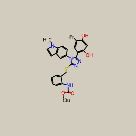 CC(C)c1cc(-c2nnc(SCc3ccccc3NC(=O)OC(C)(C)C)n2-c2ccc3c(ccn3C)c2)c(O)cc1O